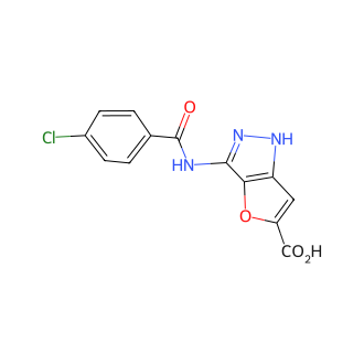 O=C(Nc1n[nH]c2cc(C(=O)O)oc12)c1ccc(Cl)cc1